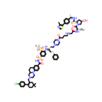 Cc1ncsc1-c1ccc([C@H](C)NC(=O)[C@@H]2C[C@@H](O)CN2C(=O)[C@@H](NC(=O)CNCCCC(=O)N2CCN(CC[C@H](CSc3ccccc3)Nc3ccc(S(=O)(=O)NC(=O)c4ccc5c(c4)CCC4CN(CC6=C(c7ccc(Cl)cc7)CCC(C)(C)C6)CCN54)cc3S(=O)(=O)C(F)(F)F)CC2)C(C)(C)C)cc1